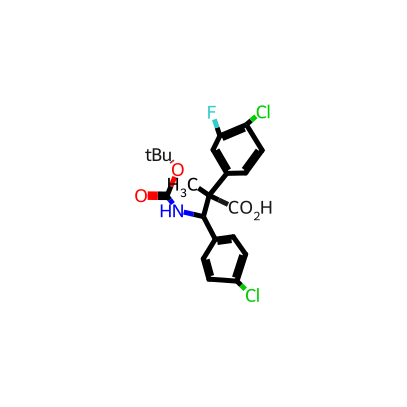 CC(C)(C)OC(=O)NC(c1ccc(Cl)cc1)C(C)(C(=O)O)c1ccc(Cl)c(F)c1